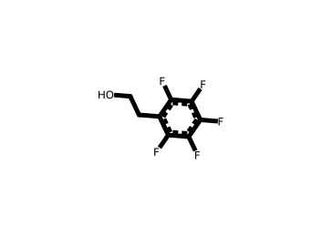 OCCc1c(F)c(F)c(F)c(F)c1F